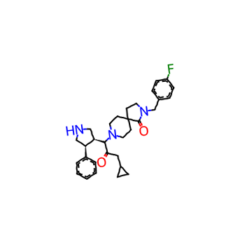 O=C(CC1CC1)C([C@@H]1CNC[C@@H]1c1ccccc1)N1CCC2(CCN(Cc3ccc(F)cc3)C2=O)CC1